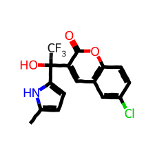 Cc1ccc(C(O)(c2cc3cc(Cl)ccc3oc2=O)C(F)(F)F)[nH]1